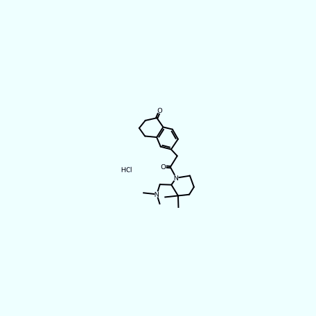 CN(C)CC1N(C(=O)Cc2ccc3c(c2)CCCC3=O)CCCC1(C)C.Cl